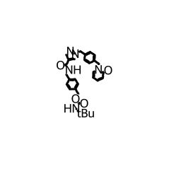 CC(C)(C)NC(=O)OCc1ccc(CNC(=O)c2cnn(Cc3ccc(Cn4ccccc4=O)cc3)c2)cc1